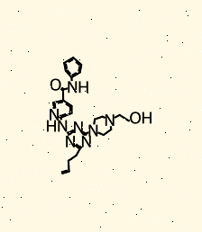 C=CCCc1nc(Nc2ccc(C(=O)Nc3ccccc3)cn2)nc(N2CCN(CCO)CC2)n1